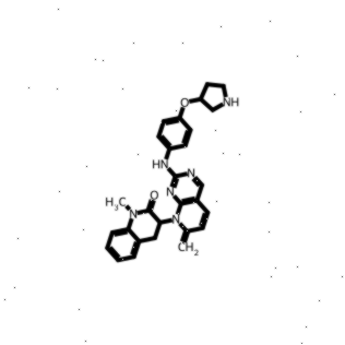 C=C1C=Cc2cnc(Nc3ccc(OC4CCNC4)cc3)nc2N1C1Cc2ccccc2N(C)C1=O